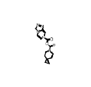 O=C(OC(=O)N1CCC2(CC1)CC2)N1C=CN2CN=NC2=C1